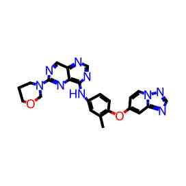 Cc1cc(Nc2ncnc3cnc(N4CCCOC4)nc23)ccc1Oc1ccn2ncnc2c1